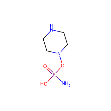 NP(=O)(O)ON1CCNCC1